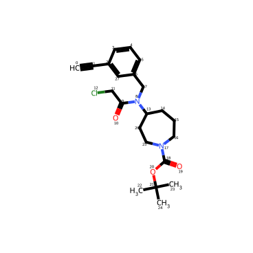 C#Cc1cccc(CN(C(=O)CCl)C2CCCN(C(=O)OC(C)(C)C)CC2)c1